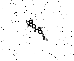 COCCN1CCC2C(=NN=C2C(=O)N2CCC(c3cccc(F)c3C(F)(F)F)CC2)C1